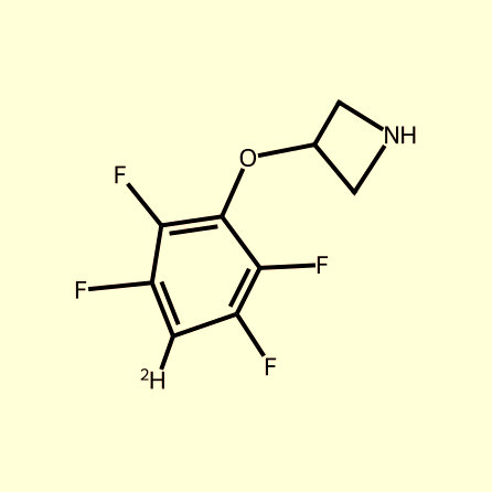 [2H]c1c(F)c(F)c(OC2CNC2)c(F)c1F